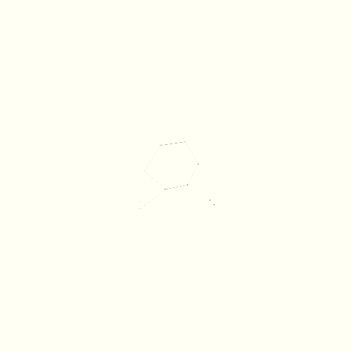 C[CH]C1CCCCC1C#N